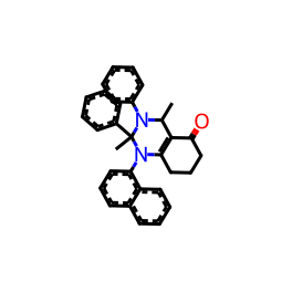 CC1C2=C(CCCC2=O)N(c2cccc3ccccc23)C(C)(c2ccccc2)N1c1ccccc1